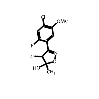 COc1cc(C2=NOC(C)(O)C2Cl)c(F)cc1Cl